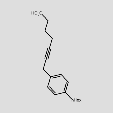 CCCCCCc1ccc(CC#CCCCC(=O)O)cc1